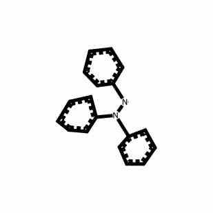 c1ccc([N]N(c2ccccc2)c2ccccc2)cc1